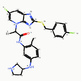 CCC(C(=O)Nc1cc(NC2CCNC2)ccc1C)n1cc(F)cc2nc(SCc3ccc(F)cc3)nc1-2